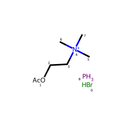 Br.CC(=O)OCC[N+](C)(C)C.P